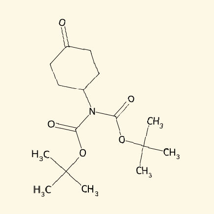 CC(C)(C)OC(=O)N(C(=O)OC(C)(C)C)C1CCC(=O)CC1